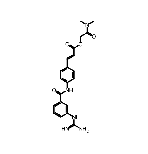 CN(C)C(=O)COC(=O)C=Cc1ccc(NC(=O)c2cccc(NC(=N)N)c2)cc1